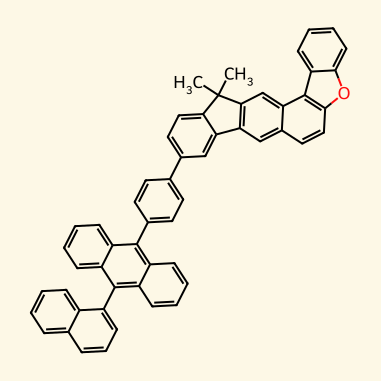 CC1(C)c2ccc(-c3ccc(-c4c5ccccc5c(-c5cccc6ccccc56)c5ccccc45)cc3)cc2-c2cc3ccc4oc5ccccc5c4c3cc21